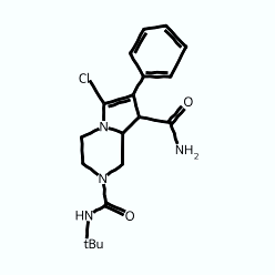 CC(C)(C)NC(=O)N1CCN2C(Cl)=C(c3ccccc3)C(C(N)=O)C2C1